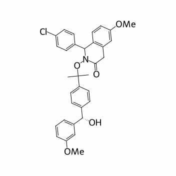 COc1cccc([C@@H](O)c2ccc(C(C)(C)ON3C(=O)Cc4cc(OC)ccc4C3c3ccc(Cl)cc3)cc2)c1